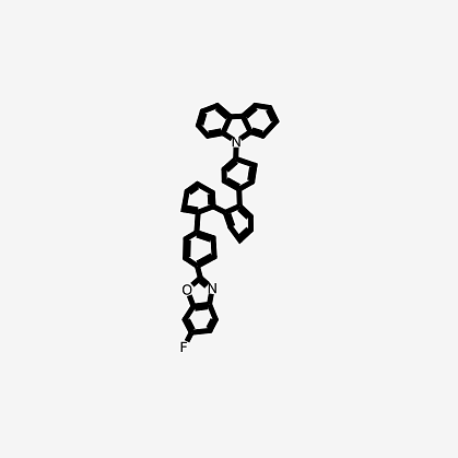 Fc1ccc2nc(-c3ccc(-c4ccccc4-c4ccccc4-c4ccc(-n5c6ccccc6c6ccccc65)cc4)cc3)oc2c1